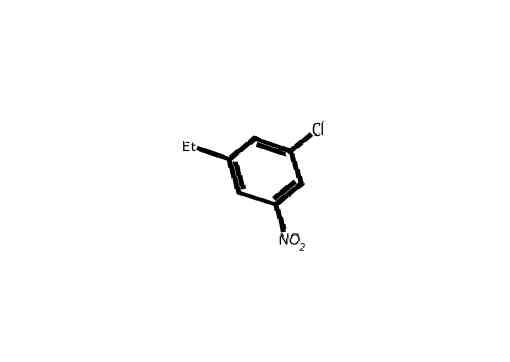 CCc1cc(Cl)cc([N+](=O)[O-])c1